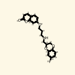 O=c1ccc2ccc(OCCCNCC3COc4ccc(F)cc4O3)cc2o1